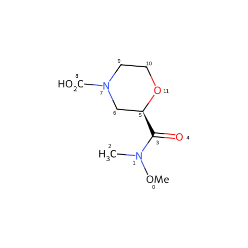 CON(C)C(=O)[C@H]1CN(C(=O)O)CCO1